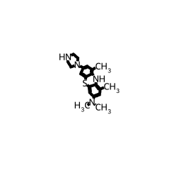 Cc1cc(N(C)C)cc2c1Nc1c(C)cc(N3CCNCC3)cc1S2